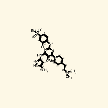 CCS(=O)(=O)c1ccc(Sc2nc(Nc3cc(C)[nH]n3)c(OC)c(N3CCC(CCN(C)C)CC3)n2)c(Cl)c1